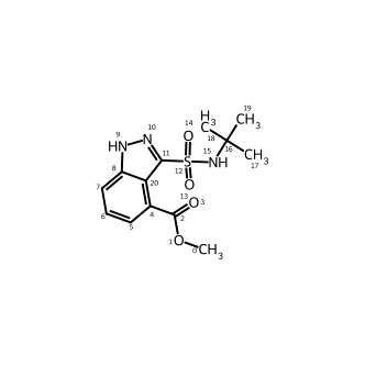 COC(=O)c1cccc2[nH]nc(S(=O)(=O)NC(C)(C)C)c12